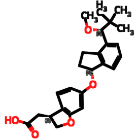 CO[C@@H](c1cccc2c1CC[C@H]2Oc1ccc2c(c1)OC[C@H]2CC(=O)O)C(C)(C)C